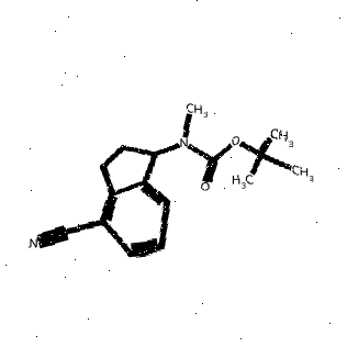 CN(C(=O)OC(C)(C)C)C1CCc2c(C#N)cccc21